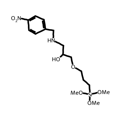 CO[Si](CCCOCC(O)CNCc1ccc([N+](=O)[O-])cc1)(OC)OC